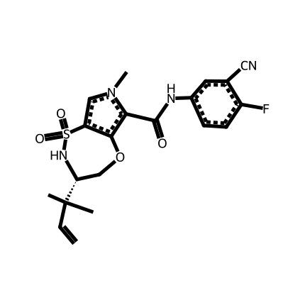 C=CC(C)(C)[C@H]1COc2c(cn(C)c2C(=O)Nc2ccc(F)c(C#N)c2)S(=O)(=O)N1